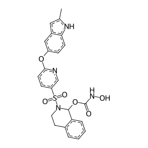 Cc1cc2cc(Oc3ccc(S(=O)(=O)N4CCc5ccccc5C4OC(=O)NO)cn3)ccc2[nH]1